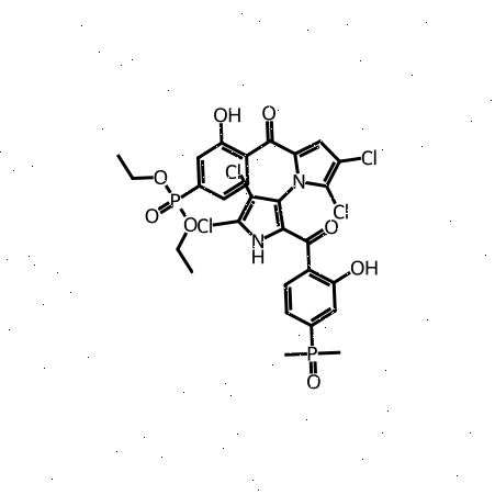 CCOP(=O)(OCC)c1ccc(C(=O)c2cc(Cl)c(Cl)n2-c2c(C(=O)c3ccc(P(C)(C)=O)cc3O)[nH]c(Cl)c2Cl)c(O)c1